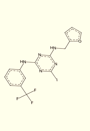 FC(F)(F)c1cccc(Nc2nc(I)nc(NCc3ccco3)n2)c1